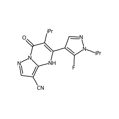 CC(C)c1c(-c2cnn(C(C)C)c2F)[nH]c2c(C#N)cnn2c1=O